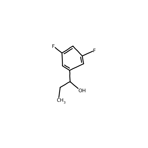 CC[C](O)c1cc(F)cc(F)c1